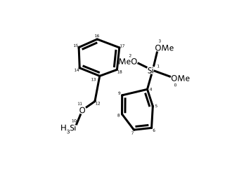 CO[Si](OC)(OC)c1ccccc1.[SiH3]OCc1ccccc1